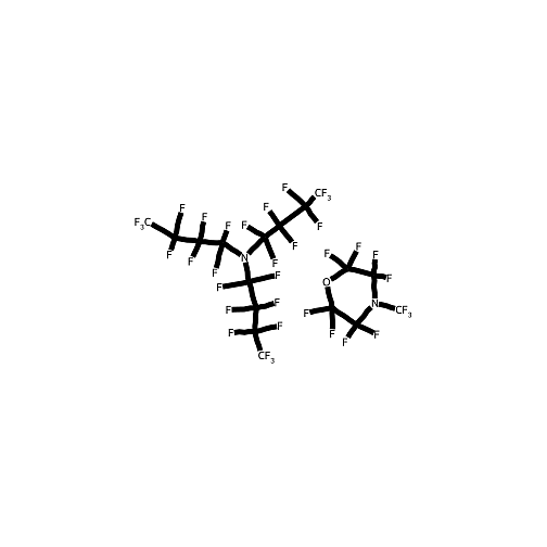 FC(F)(F)C(F)(F)C(F)(F)C(F)(F)N(C(F)(F)C(F)(F)C(F)(F)C(F)(F)F)C(F)(F)C(F)(F)C(F)(F)C(F)(F)F.FC(F)(F)N1C(F)(F)C(F)(F)OC(F)(F)C1(F)F